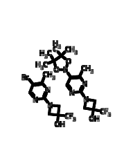 Cc1nc(N2CC(O)(C(F)(F)F)C2)ncc1B1OC(C)(C)C(C)(C)O1.Cc1nc(N2CC(O)(C(F)(F)F)C2)ncc1Br